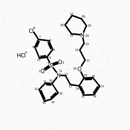 Cl.O=S(=O)(c1ccc(Cl)cc1)N(CCc1ccccc1OCCCN1CCCCC1)c1ccccc1